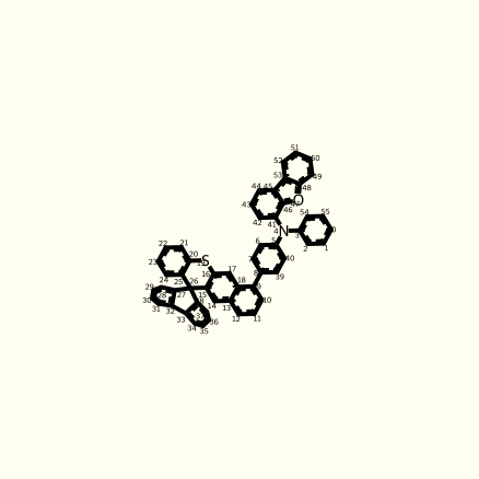 c1ccc(N(c2ccc(-c3cccc4cc5c(cc34)Sc3ccccc3C53c4ccccc4-c4ccccc43)cc2)c2cccc3c2oc2ccccc23)cc1